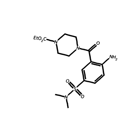 CCOC(=O)N1CCN(C(=O)c2cc(S(=O)(=O)N(C)C)ccc2N)CC1